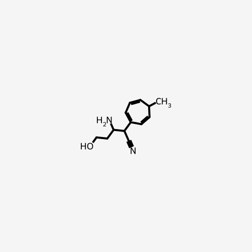 CC1C=CC=C(C(C#N)C(N)CCO)C=C1